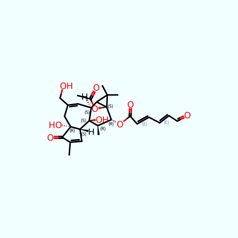 CC(=O)O[C@]12C([C@@H]3C=C(CO)C[C@]4(O)C(=O)C(C)=C[C@H]4[C@@]3(O)[C@H](C)[C@H]1OC(=O)/C=C/C=C/C=O)C2(C)C